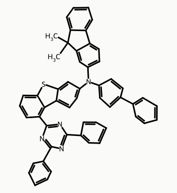 CC1(C)c2ccccc2-c2ccc(N(c3ccc(-c4ccccc4)cc3)c3ccc4c(c3)sc3cccc(-c5nc(-c6ccccc6)nc(-c6ccccc6)n5)c34)cc21